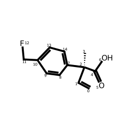 C=C[C@](C)(C(=O)O)c1ccc(CF)cc1